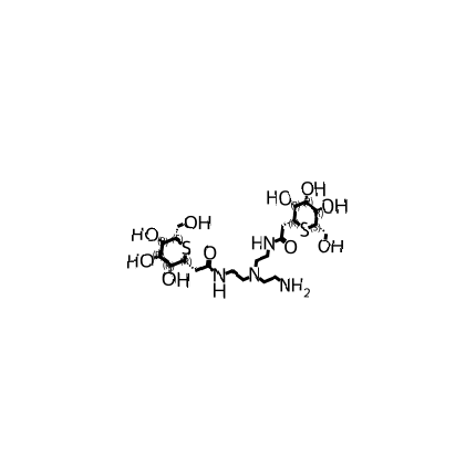 NCCN(CCNC(=O)C[C@H]1S[C@@H](CO)[C@H](O)[C@H](O)[C@H]1O)CCNC(=O)C[C@H]1S[C@@H](CO)[C@H](O)[C@H](O)[C@H]1O